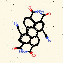 N#Cc1cc2c3c(ccc4c5c(C#N)cc6c7c(ccc(c1c34)c75)C(=O)NC6=O)C(=O)NC2=O